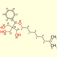 CC(C)CCCCCCCOC(c1ccccc1)C(CO)(CO)CO